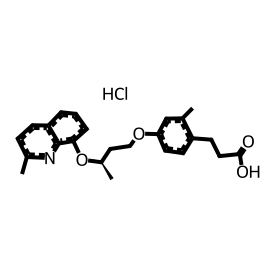 Cc1ccc2cccc(O[C@H](C)CCOc3ccc(CCC(=O)O)c(C)c3)c2n1.Cl